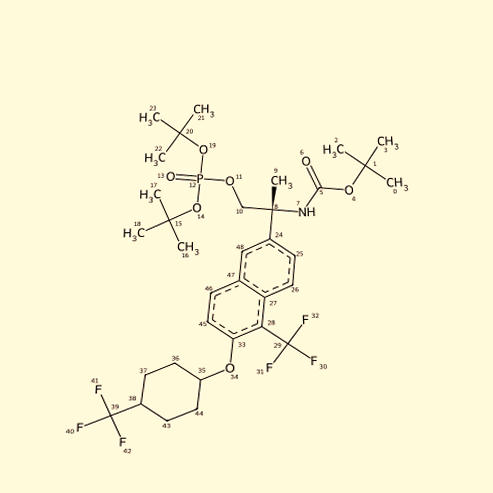 CC(C)(C)OC(=O)N[C@@](C)(COP(=O)(OC(C)(C)C)OC(C)(C)C)c1ccc2c(C(F)(F)F)c(OC3CCC(C(F)(F)F)CC3)ccc2c1